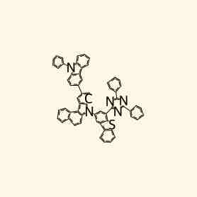 c1ccc(-c2nc(-c3ccccc3)nc(-c3cc(-n4c5ccc(-c6ccc7c(c6)c6ccccc6n7-c6ccccc6)cc5c5c6ccccc6ccc54)cc4c3sc3ccccc34)n2)cc1